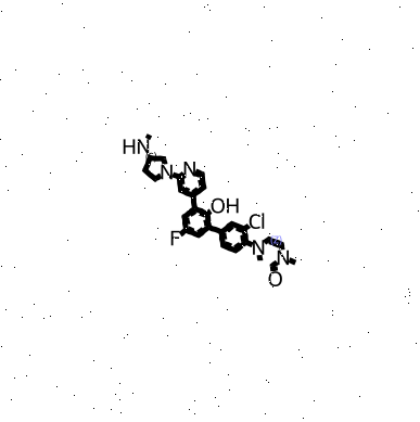 CN[C@H]1CCN(c2cc(-c3cc(F)cc(-c4ccc(N(C)/C=C\N(C)C=O)c(Cl)c4)c3O)ccn2)C1